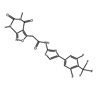 Cn1c(=O)c2c(CC(=O)Nc3nc(-c4cc(F)c(C(F)(F)F)c(F)c4)cs3)onc2n(C)c1=O